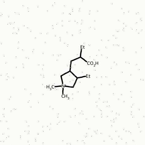 CCC(CC1C[N+](C)(C)CC1CC)C(=O)O